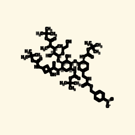 C[C@@H]([C@@H](O)[C@H](OCCO)O[C@@H]1[C@@H](O)[C@H](O[C@H]2OC(CNC(=O)OCc3ccc([N+](=O)[O-])cc3)=CC[C@H]2NC(=O)OC(C)(C)C)[C@@H](NC(=O)OC(C)(C)C)C[C@H]1NC(=O)C1(O)CC(NC(=O)OC(C)(C)C)C1)N(C)C(=O)OC(C)(C)C